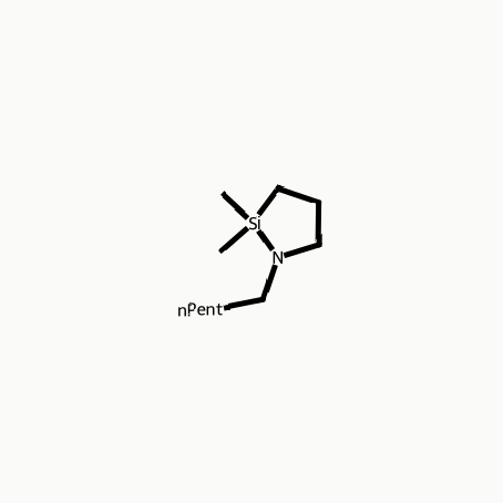 CCCCCCN1CCC[Si]1(C)C